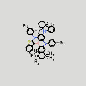 CC(C)(C)c1ccc(N2c3cc4c(cc3B3c5c2cc(N2c6ccccc6C6(C)CCCCC26C)cc5N(c2ccc(C(C)(C)C)cc2)c2sc5ccc(C(C)(C)C)cc5c23)C(C)(C)CCC4(C)C)cc1